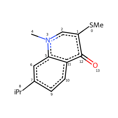 CSc1cn(C)c2cc(C(C)C)ccc2c1=O